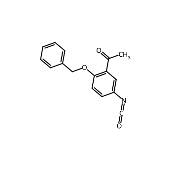 CC(=O)c1cc(N=C=O)ccc1OCc1ccccc1